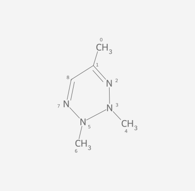 CC1=NN(C)N(C)N=C1